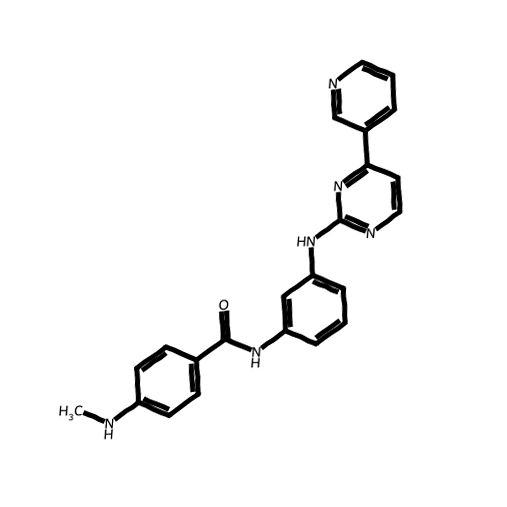 CNc1ccc(C(=O)Nc2cccc(Nc3nccc(-c4cccnc4)n3)c2)cc1